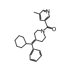 Cc1cncc(C(=O)N2CCC(=C(c3ccccc3)C3CCCCC3)CC2)c1